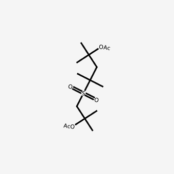 CC(=O)OC(C)(C)CC(C)(C)S(=O)(=O)CC(C)(C)OC(C)=O